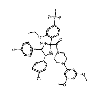 CCOc1cc(C(F)(F)F)ccc1C1(C(=O)N2CCN(c3cc(OC)cc(OC)c3)CC2)NC(c2ccc(Cl)cc2)C(c2ccc(Cl)cc2)N1